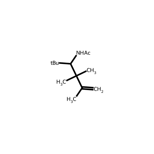 C=C(C)C(C)(C)C(NC(C)=O)C(C)(C)C